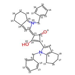 O=C1C(c2cc3c(n2Cc2ccccc2)CCCC3)=C(O)/C1=C1\C=C2CCCCC2=[N+]1Cc1ccccc1